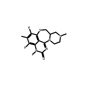 Cc1c(F)c2c3c(nc(=O)n(I)c3c1F)N1CCN(I)CC1CS2